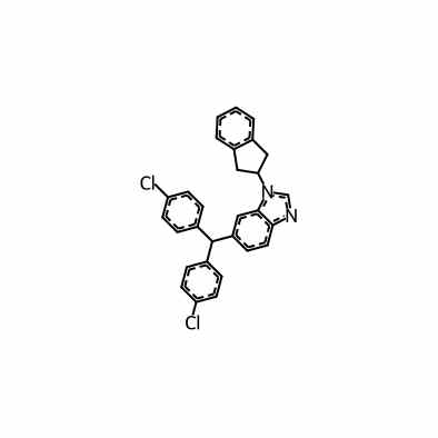 Clc1ccc(C(c2ccc(Cl)cc2)c2ccc3ncn(C4Cc5ccccc5C4)c3c2)cc1